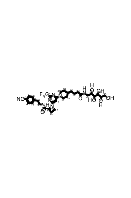 N#Cc1ccc(CCNC(=O)[C@@H]2CCN2c2cc(N3CCC(CCCC(=O)NCC(O)C(O)C(O)C(O)CO)CC3)nc(C(F)(F)F)n2)cc1